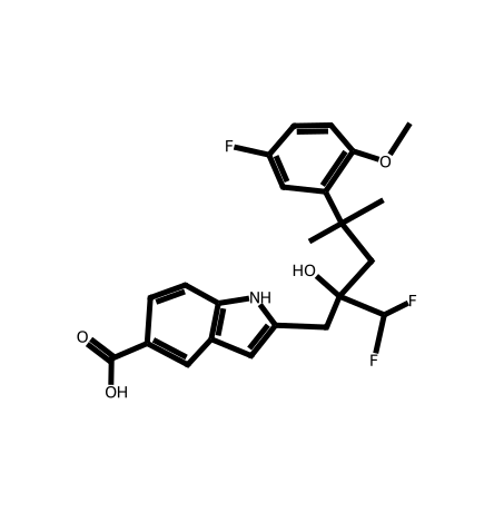 COc1ccc(F)cc1C(C)(C)CC(O)(Cc1cc2cc(C(=O)O)ccc2[nH]1)C(F)F